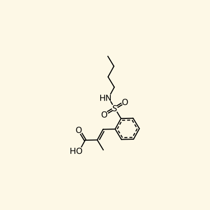 CCCCNS(=O)(=O)c1ccccc1C=C(C)C(=O)O